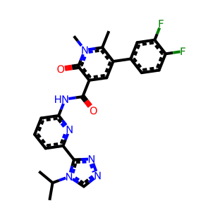 Cc1c(-c2ccc(F)c(F)c2)cc(C(=O)Nc2cccc(-c3nncn3C(C)C)n2)c(=O)n1C